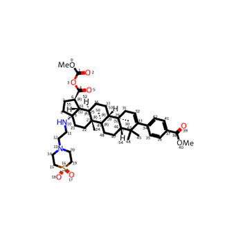 COC(=O)OC(=O)[C@@H]1CC[C@]2(NCCN3CCS(=O)(=O)CC3)CC[C@]3(C)[C@H](CC[C@@H]4[C@@]5(C)CC=C(c6ccc(C(=O)OC)cc6)C(C)(C)[C@@H]5CC[C@]43C)[C@@H]12